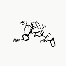 CCCC[C@H]1Cc2cc(OC)ccc2[C@H](c2ccc(C(=O)NC3CCC3)nc2)N1C(=O)O